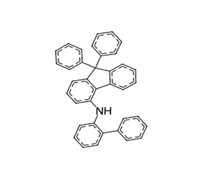 c1ccc(-c2ccccc2Nc2cccc3c2-c2ccccc2C3(c2ccccc2)c2ccccc2)cc1